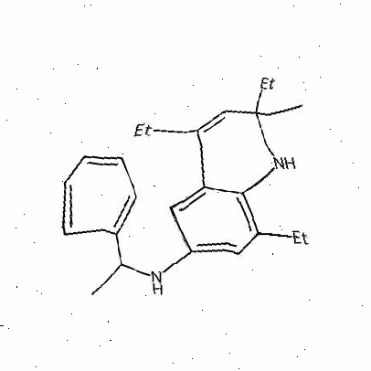 CCC1=CC(C)(CC)Nc2c(CC)cc(NC(C)c3ccccc3)cc21